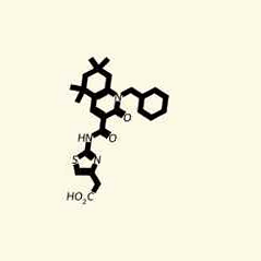 CC1(C)Cc2c(cc(C(=O)Nc3nc(CC(=O)O)cs3)c(=O)n2CC2CCCCC2)C(C)(C)C1